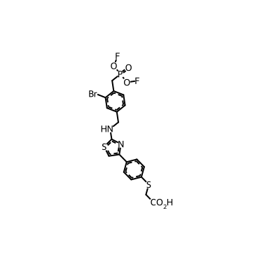 O=C(O)CSc1ccc(-c2csc(NCc3ccc(CP(=O)(OF)OF)c(Br)c3)n2)cc1